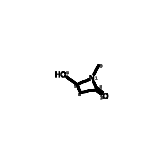 CN1C(=O)CC1O